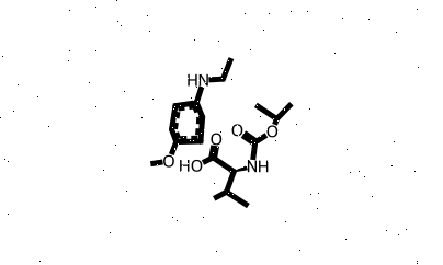 CC(C)OC(=O)N[C@H](C(=O)O)C(C)C.CCNc1ccc(OC)cc1